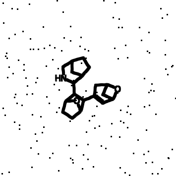 C1=C(C2C3CCC(O3)C2C2NCC3CCC2C3)CC2CC1O2